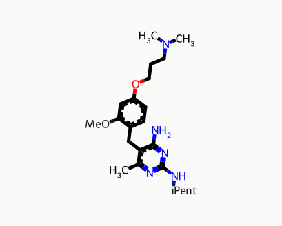 CCCC(C)Nc1nc(C)c(Cc2ccc(OCCCN(C)C)cc2OC)c(N)n1